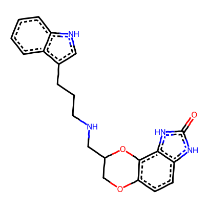 O=c1[nH]c2ccc3c(c2[nH]1)OC(CNCCCc1c[nH]c2ccccc12)CO3